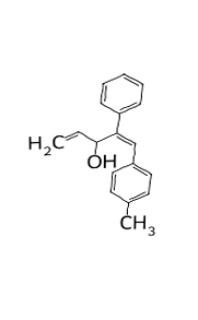 C=CC(O)/C(=C\c1ccc(C)cc1)c1ccccc1